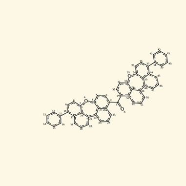 O=C(c1ccc2oc3ccc(-c4ccccc4)c4cccc(c5cccc1c25)c34)c1ccc2oc3ccc(-c4ccccc4)c4cccc(c5cccc1c25)c34